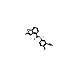 Cc1cc2c(C(=O)Nc3ccc(F)c(C#N)c3)cccc2[nH]1